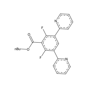 CCCCOC(=O)c1c(F)c(-c2ccccn2)cc(-c2ccccn2)c1F